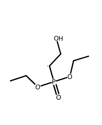 CCOP(=O)([CH]CO)OCC